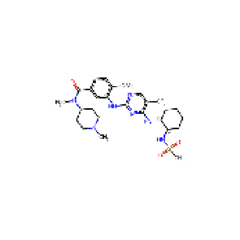 COc1ccc(C(=O)N(C)C2CCN(C)CC2)cc1Nc1ncc(C(F)(F)F)c(N[C@@H]2CCCC[C@H]2NS(C)(=O)=O)n1